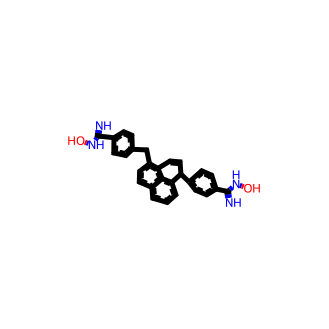 N=C(NO)c1ccc(Cc2ccc3cccc4c3c2C=CC4c2ccc(C(=N)NO)cc2)cc1